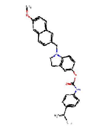 COc1ccc2cc(CN3CCc4cc(OC(=O)Nc5ccc(C(C)C)cc5)ccc43)ccc2c1